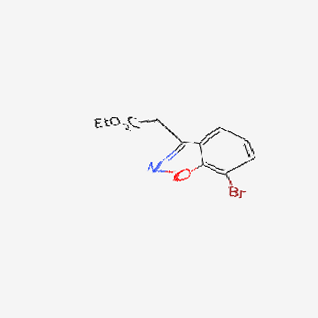 CCOC(=O)Cc1noc2c(Br)cccc12